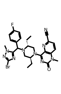 CC[C@H]1CN(C(c2ccc(F)cc2)c2nc(Br)nn2C)[C@H](CC)CN1c1nc(=O)n(C)c2ccc(C#N)nc12